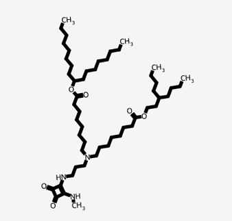 CCCCCCCCC(CCCCCCCC)OC(=O)CCCCCCCN(CCCCCCCC(=O)OCCC(CCCC)CCCC)CCCNc1c(NC)c(=O)c1=O